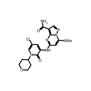 CNc1cc(Nc2cc(Cl)cn(C3CCOCC3)c2=O)nc2c(C(N)=O)cnn12